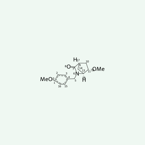 COc1ccc(CN2C(=O)[C@H]3C[C@H](OC)[C@@H]2C3)cc1